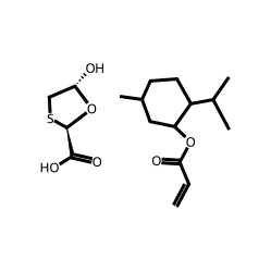 C=CC(=O)OC1CC(C)CCC1C(C)C.O=C(O)[C@@H]1O[C@@H](O)CS1